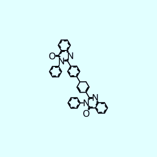 O=c1c2ccccc2nc(C2=CCC(c3ccc(-c4nc5ccccc5c(=O)n4-c4ccccc4)cc3)C=C2)n1-c1ccccc1